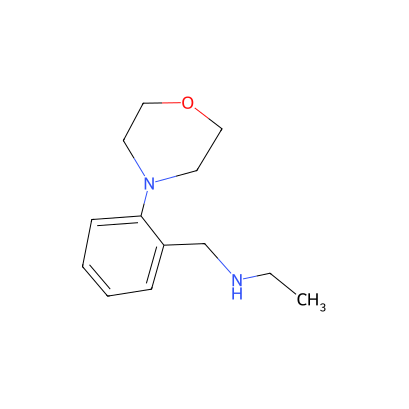 CCNCc1ccccc1N1CCOCC1